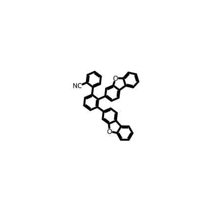 N#Cc1ccccc1-c1cccc(-c2ccc3c(c2)oc2ccccc23)c1-c1ccc2c(c1)oc1ccccc12